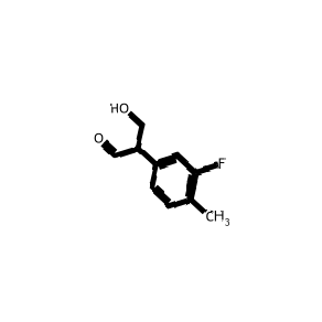 Cc1ccc(C(C=O)CO)cc1F